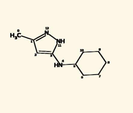 Cc1cc(NC2CCCCC2)[nH]n1